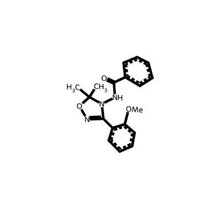 COc1ccccc1C1=NOC(C)(C)N1NC(=O)c1ccccc1